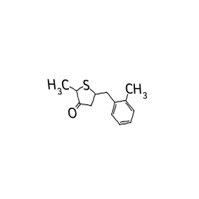 Cc1ccccc1CC1CC(=O)C(C)S1